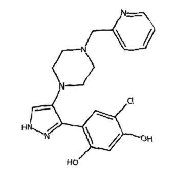 Oc1cc(O)c(-c2n[nH]cc2N2CCN(Cc3ccccn3)CC2)cc1Cl